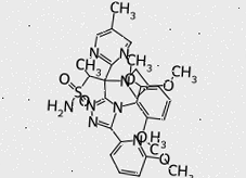 COc1cccc(-c2nnc(C(c3ncc(C)cn3)(C(C)S(N)(=O)=O)N3CC(OC)C3)n2-c2c(OC)cccc2OC)n1